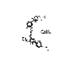 CCOc1nn(-c2ccc(C(F)(F)F)cn2)cc1CCCOc1cc(OC(C)(C)C(=O)O)ccc1C.[CaH2]